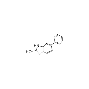 OC1Cc2ccc(-c3ccccc3)cc2N1